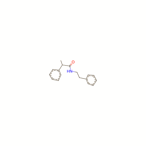 CC(C(=O)NCCc1ccccc1)c1ccccc1